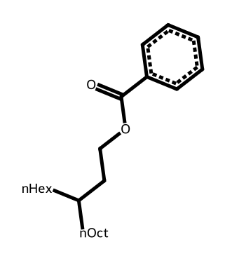 CCCCCCCCC(CCCCCC)CCOC(=O)c1ccccc1